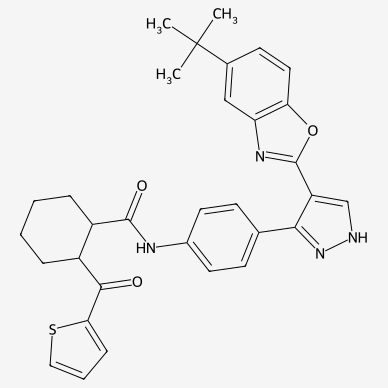 CC(C)(C)c1ccc2oc(-c3c[nH]nc3-c3ccc(NC(=O)C4CCCCC4C(=O)c4cccs4)cc3)nc2c1